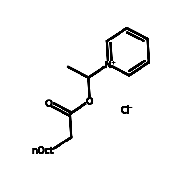 CCCCCCCCCC(=O)OC(C)[n+]1ccccc1.[Cl-]